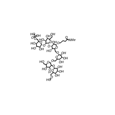 CNC(=O)CCCO[C@@H]1OC(CO[C@H]2OC(CO[C@H]3OC(CO)[C@@H](O)[C@H](O)C3O[C@@H]3OC(COO)[C@@H](O)[C@H](O)C3O)[C@@H](O)[C@H](O)C2O)[C@@H](O)[C@H](O[C@H]2OC(CO)[C@@H](O)[C@H](O)C2O[C@H]2OC(COP(=O)(O)O)[C@@H](O)[C@H](O)C2O)C1O